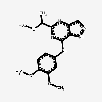 COc1ccc(Nc2nc(C(C)OC)nc3cn[nH]c23)cc1OC